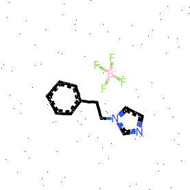 F[B-](F)(F)F.c1ccc(CCn2ccnc2)cc1